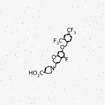 O=C(O)C1=CCN(CC2=Cc3c(F)cc(OCc4ccc(C(F)(F)F)cc4C(F)(F)F)cc3OC2)CC1